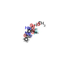 COCCCOC(=O)c1[nH]c2ccc(N3CC[C@H](c4ccccc4)[C@H]3C(N)=O)cc2c1OC(=O)C(F)(F)F